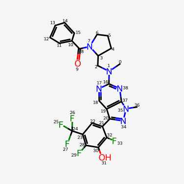 CN(CC1CCCN1C(=O)c1ccccc1)c1ncc2c(-c3cc(C(F)(F)F)c(F)c(O)c3F)nn(C)c2n1